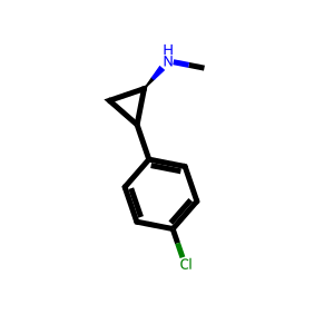 CN[C@@H]1CC1c1ccc(Cl)cc1